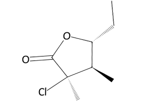 CC[C@H]1OC(=O)[C@](C)(Cl)[C@@H]1C